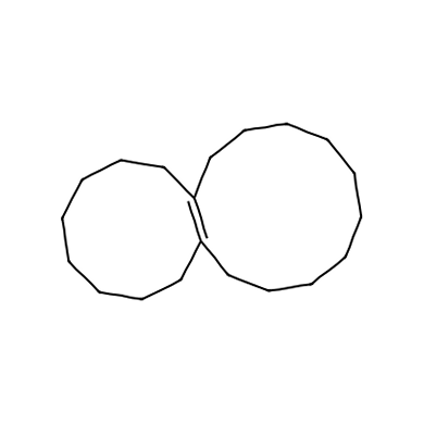 C1CCCCCC2=C(CCCC1)CCCCCCCC2